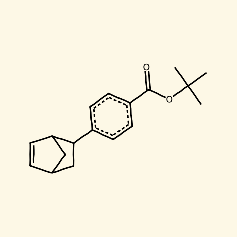 CC(C)(C)OC(=O)c1ccc(C2CC3C=CC2C3)cc1